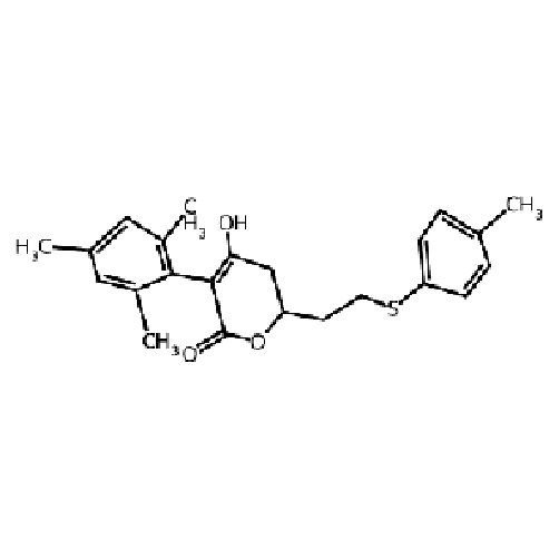 Cc1ccc(SCCC2CC(O)=C(c3c(C)cc(C)cc3C)C(=O)O2)cc1